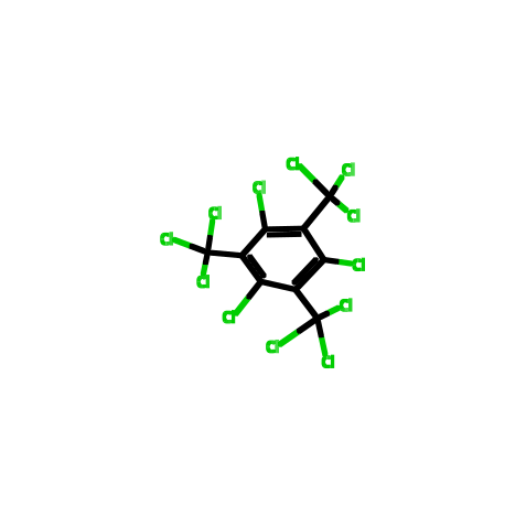 Clc1c(C(Cl)(Cl)Cl)c(Cl)c(C(Cl)(Cl)Cl)c(Cl)c1C(Cl)(Cl)Cl